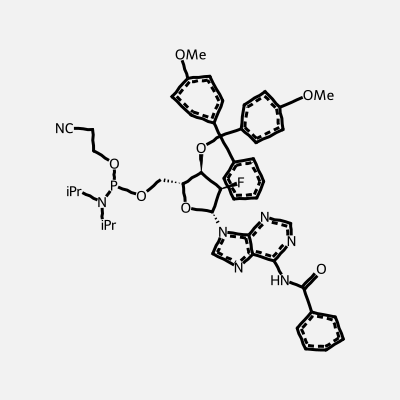 COc1ccc(C(O[C@H]2[C@@H](F)[C@H](n3cnc4c(NC(=O)c5ccccc5)ncnc43)O[C@@H]2COP(OCCC#N)N(C(C)C)C(C)C)(c2ccccc2)c2ccc(OC)cc2)cc1